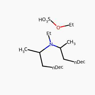 CCCCCCCCCCCC(C)N(CC)C(C)CCCCCCCCCCC.CCOS(=O)(=O)O